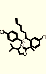 C=CCCCC(c1cccc(Cl)c1)[C@@H](c1ccc(Cl)cc1)[N+]1=C(CC)OCC1C(C)C